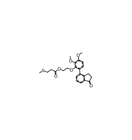 COc1ccc(-c2cccc3c2CCC3=O)c(OCCOC(=O)CCSC)c1OC